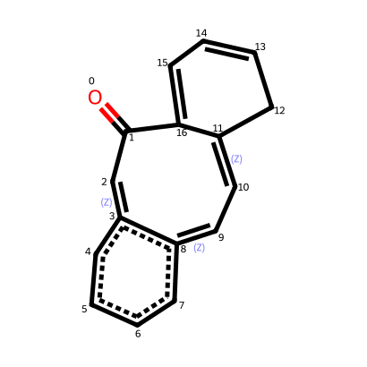 O=C1/C=c2/cccc/c2=C/C=C2/CC=CC=C12